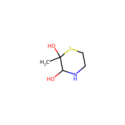 [CH2]C1(O)SCCNC1O